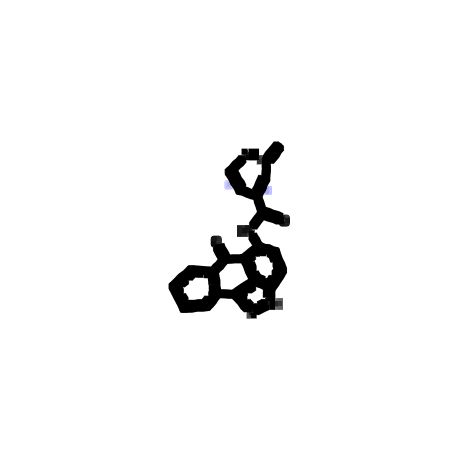 C=C/C=C(\C=C/N)C(=O)Nc1ccc2[nH]nc3c2c1C(=O)c1ccccc1-3